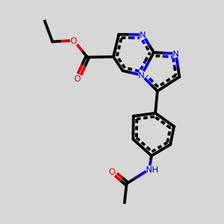 CCOC(=O)c1cnc2ncc(-c3ccc(NC(C)=O)cc3)n2c1